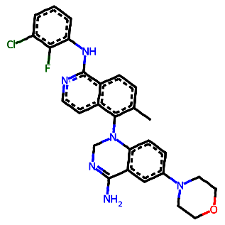 Cc1ccc2c(Nc3cccc(Cl)c3F)nccc2c1N1CN=C(N)c2cc(N3CCOCC3)ccc21